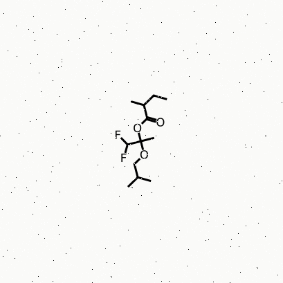 CCC(C)C(=O)OC(C)(OCC(C)C)C(F)F